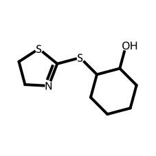 OC1CCCCC1SC1=NCCS1